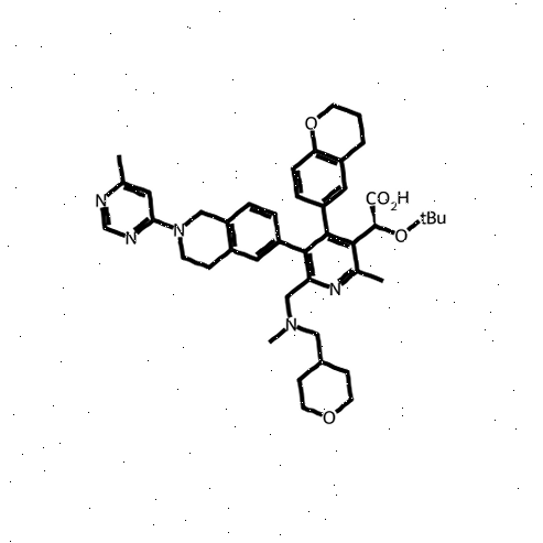 Cc1cc(N2CCc3cc(-c4c(CN(C)CC5CCOCC5)nc(C)c([C@H](OC(C)(C)C)C(=O)O)c4-c4ccc5c(c4)CCCO5)ccc3C2)ncn1